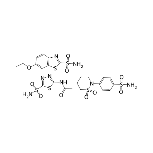 CC(=O)Nc1nnc(S(N)(=O)=O)s1.CCOc1ccc2nc(S(N)(=O)=O)sc2c1.NS(=O)(=O)c1ccc(N2CCCCS2(=O)=O)cc1